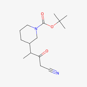 CC(C(=O)CC#N)C1CCCN(C(=O)OC(C)(C)C)C1